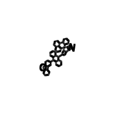 c1ccc2c(c1)-c1cccc3cccc(c13)C21c2ccncc2-c2ccc(-c3c4ccccc4c(-c4ccc5oc6ccccc6c5c4)c4ccccc34)cc21